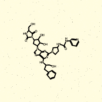 O=C(Nc1cccnc1)NC1CCN(c2nc(NC(CO)Cc3ccccc3)c3ncn(C4CC(N5C(=O)NC(CO)C5=O)C(O)C4O)c3n2)C1